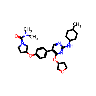 CC1CCC(Nc2ncc(-c3ccc(OC4CCN(C(=O)N(C)C)C4)cc3)c(OC3CCOC3)n2)CC1